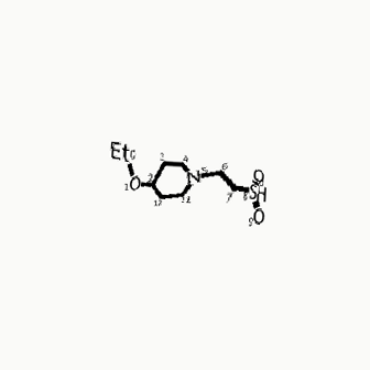 CCOC1CCN(CC[SH](=O)=O)CC1